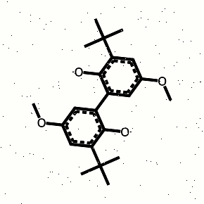 COc1cc(-c2cc(OC)cc(C(C)(C)C)c2[O])c([O])c(C(C)(C)C)c1